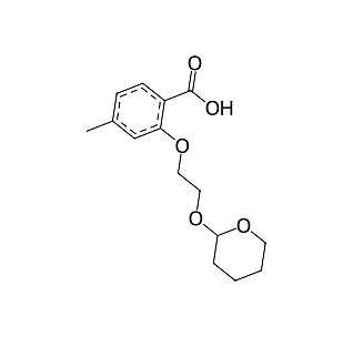 Cc1ccc(C(=O)O)c(OCCOC2CCCCO2)c1